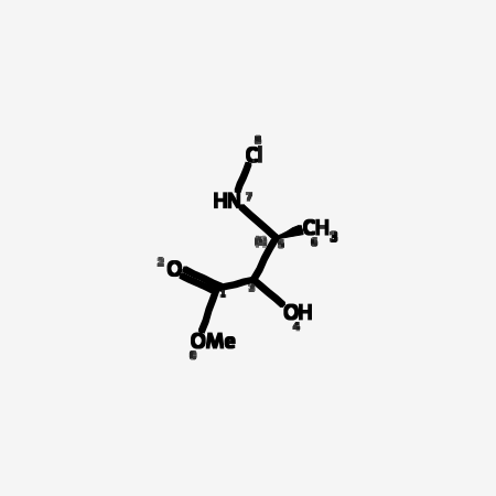 COC(=O)C(O)[C@H](C)NCl